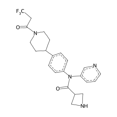 O=C(CC(F)(F)F)N1CCC(c2ccc(N(C(=O)C3CNC3)c3cccnc3)cc2)CC1